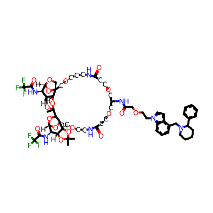 CC1(C)O[C@@H]2[C@@H](NC(=O)C(F)(F)F)[C@@H]3OC4C5(C)O[C@@H]6[C@@H](NC(=O)C(F)(F)F)[C@H]7OC[C@](COCCCNC(=O)CCOCC(NC(=O)COCCn8ccc9c(CN%10CCCCC%10c%10ccccc%10)cccc98)COCCC(=O)NCCOC[C@@]4(O3)[C@@H]2O1)(O7)[C@@H]6O5